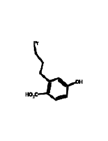 CC(C)CCCc1cc(O)ccc1C(=O)O